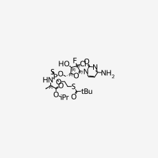 CC(C)OC(=O)[C@@H](C)NP(=S)(OCCSC(=O)C(C)(C)C)OC[C@H]1O[C@@H](n2ccc(N)nc2=O)[C@@](F)(Cl)[C@@H]1O